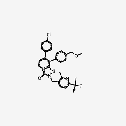 COCc1ccc(-c2c(-c3ccc(Cl)cc3)ccn3c(=O)n(Cc4ccc(C(F)(F)F)nc4C)nc23)cc1